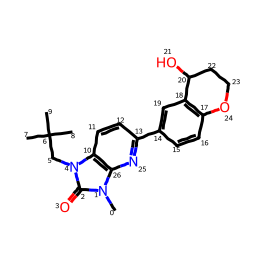 Cn1c(=O)n(CC(C)(C)C)c2ccc(-c3ccc4c(c3)C(O)CCO4)nc21